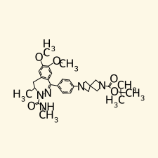 CNC(=O)N1N=C(c2ccc(N3CC4(CN(C(=O)OC(C)(C)C)C4)C3)cc2)c2cc(OC)c(OC)cc2CC1C